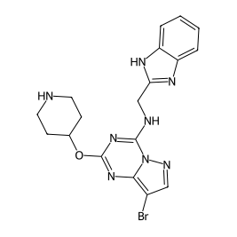 Brc1cnn2c(NCc3nc4ccccc4[nH]3)nc(OC3CCNCC3)nc12